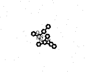 c1ccc(-c2ccc(-c3nc(-n4c5ccccc5c5cc6c7cc8ccccc8cc7n7c8ccccc8c(c54)c67)nc4c3oc3ccccc34)cc2)cc1